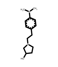 CN(C)c1ccc(CCN2CCC(O)C2)cc1